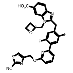 N#Cc1nc(COc2cccc(-c3cc(F)c(Cc4nc5ccc(C(=O)O)cc5n4C[C@@H]4CCO4)cc3F)n2)cs1